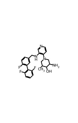 CC1CN(c2ccncc2NCc2ccc(F)c(-c3c(F)cccc3F)c2)CC(N)C1O